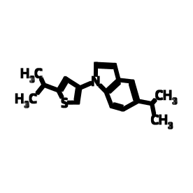 CC(C)c1ccc2c(ccn2-c2csc(C(C)C)c2)c1